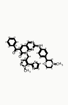 CN1CCOC(c2ccc(Nc3ncc4cc(C(=O)c5ccccc5)c(=O)n(Cc5nnn(C)c5-c5nccs5)c4n3)cc2)C1